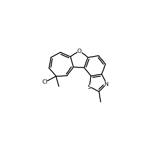 Cc1nc2ccc3oc4c(c3c2s1)=CC(C)(Cl)C=CC=4